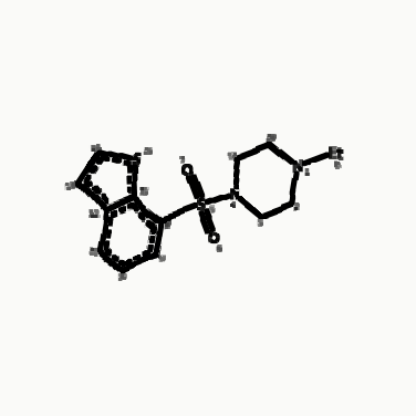 CCN1CCN(S(=O)(=O)c2cccc3ccsc23)CC1